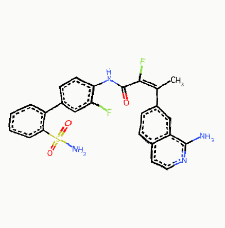 C/C(=C(\F)C(=O)Nc1ccc(-c2ccccc2S(N)(=O)=O)cc1F)c1ccc2ccnc(N)c2c1